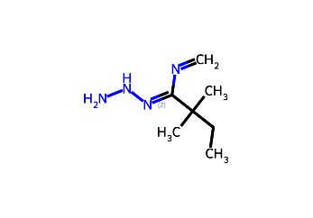 C=N/C(=N\NN)C(C)(C)CC